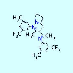 C/C(=N\c1cc(C)cc(C(F)(F)F)c1)C(Cc1ccccn1)/C(C)=N/c1cc(C)cc(C(F)(F)F)c1